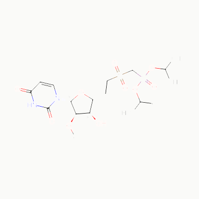 CO[C@@H]1[C@H](O)[C@@H](CCS(=O)(=O)CP(=O)(OC(C)C)OC(C)C)O[C@H]1n1ccc(=O)[nH]c1=O